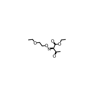 CCOCCON=C(C(C)=O)C(=O)OCC